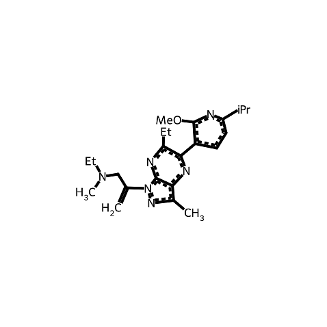 C=C(CN(C)CC)n1nc(C)c2nc(-c3ccc(C(C)C)nc3OC)c(CC)nc21